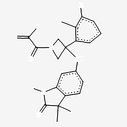 C=C(F)C(=O)N1CC(Nc2ccc3c(c2)N(C)C(=O)C3(C)C)(c2cccc(Cl)c2C)C1